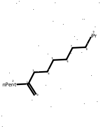 C=C(CCCCC)CCCCCCC(C)C